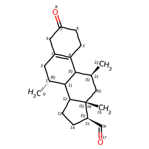 C[C@@H]1CC2=C(CCC(=O)C2)C2C1C1CC[C@H](C=O)[C@@]1(C)C[C@@H]2C